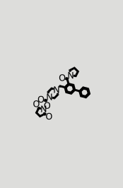 O=C(ON1C(=O)CCC1=O)N1CCN(Cc2ccc(-c3ccccc3)cc2C(=O)N2CCCC2)CC1